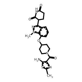 Cc1nc(C(=O)N2CCC(Oc3cccc4c(C5CCC(=O)NC5=O)nn(C)c34)CC2)c(N)s1